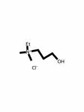 CC[N+](C)(C)CCCO.[Cl-]